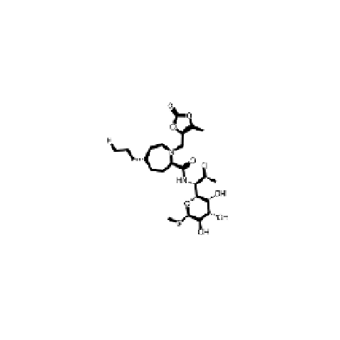 CS[C@H]1O[C@H]([C@H](NC(=O)C2CC[C@H](CCCF)CCN2Cc2oc(=O)oc2C)[C@H](C)Cl)[C@H](O)[C@H](O)[C@H]1O